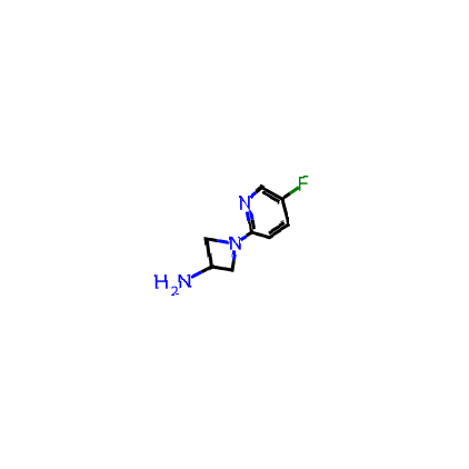 NC1CN(c2ccc(F)cn2)C1